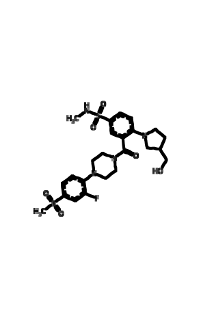 CNS(=O)(=O)c1ccc(N2CCC(CO)C2)c(C(=O)N2CCN(c3ccc(S(C)(=O)=O)cc3F)CC2)c1